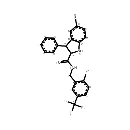 O=C(NCc1cc(C(F)(F)F)ccc1F)C1Nc2ccc(F)cc2C1c1ccccc1